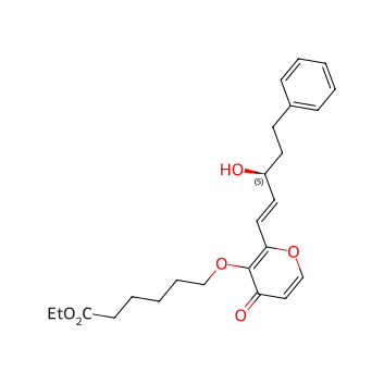 CCOC(=O)CCCCCOc1c(C=C[C@@H](O)CCc2ccccc2)occc1=O